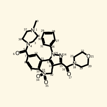 CN1CCN(C(=O)c2ccc3c(c2)-c2c(c(C(=O)N4CCOCC4)nn2-c2ccccc2)CS3(=O)=O)CC1